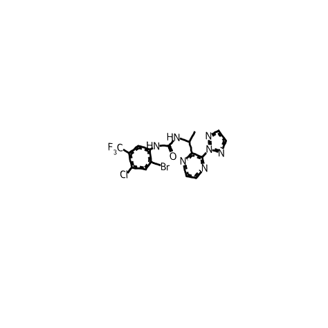 CC(NC(=O)Nc1cc(C(F)(F)F)c(Cl)cc1Br)c1nccnc1-n1nccn1